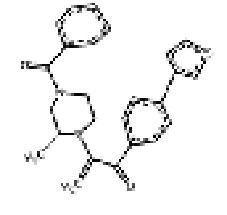 C=C(C(=O)c1ccc(-c2ccsc2)cc1)N1CCN(C(=O)c2ccccc2)C[C@H]1C